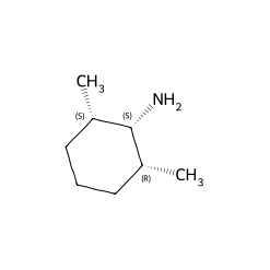 C[C@@H]1CCC[C@H](C)[C@@H]1N